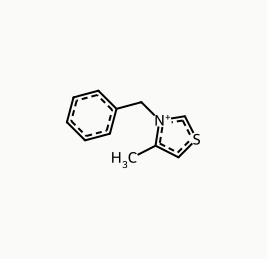 Cc1csc[n+]1Cc1ccccc1